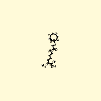 CC(CCCCNC(=O)COC1C#CCCCCC1)C(=O)O